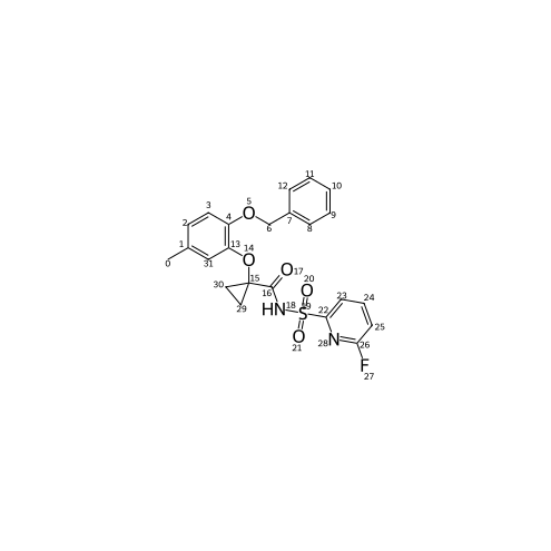 Cc1ccc(OCc2ccccc2)c(OC2(C(=O)NS(=O)(=O)c3cccc(F)n3)CC2)c1